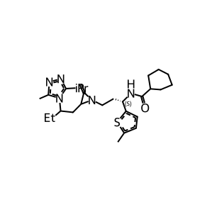 C=C1C(CC(CC)n2c(C)nnc2C(C)C)N1CC[C@H](NC(=O)C1CCCCC1)c1ccc(C)s1